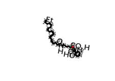 CC/C=C\C/C=C\C/C=C\C/C=C\C/C=C\C/C=C\CCC(=O)NCCCCC(NC(=O)c1ccccc1O)C(=O)O